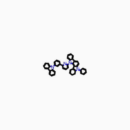 C1=Cc2c(n(-c3ccccc3)c3ccc4c5ccccc5n(-c5cccc(-c6cccc(-n7c8ccccc8c8ccccc87)c6)n5)c4c23)CC1